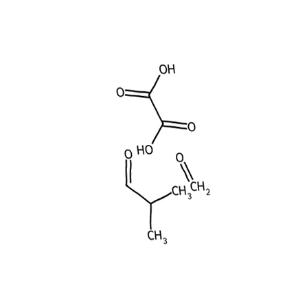 C=O.CC(C)C=O.O=C(O)C(=O)O